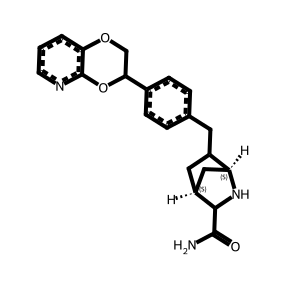 NC(=O)C1N[C@H]2C[C@@H]1CC2Cc1ccc(C2COc3cccnc3O2)cc1